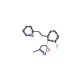 CC1=NO[C@@H](c2c(F)cccc2CCc2ccccn2)C1